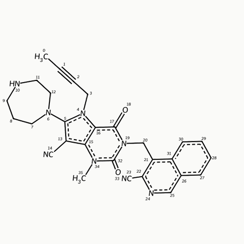 CC#CCn1c(N2CCCNCC2)c(C#N)c2c1c(=O)n(Cc1c(C#N)ncc3ccccc13)c(=O)n2C